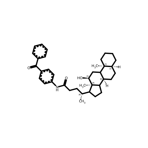 C[C@H](CCC(=O)Nc1ccc(C(=O)c2ccccc2)cc1)C1CCC2[C@@H]3CC[C@@H]4CCCC[C@]4(C)C3C[C@H](O)[C@@]21C